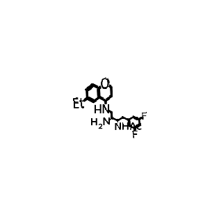 CCc1ccc2c(c1)C(NC[C@@H](N)[C@H](Cc1cc(F)cc(F)c1)NC(C)=O)CCO2